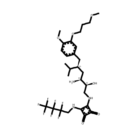 COCCCOc1cc(C[C@@H](C[C@H](N)[C@@H](O)CNc2c(NCC(F)(F)C(F)(F)C(F)(F)F)c(=O)c2=O)C(C)C)ccc1OC